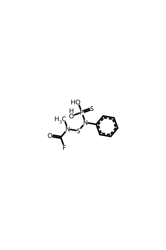 CN(SN(c1ccccc1)P(O)(O)=S)C(=O)F